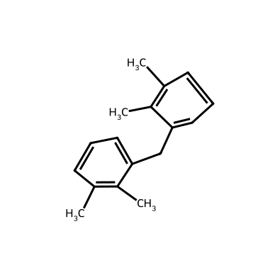 Cc1cccc(Cc2cccc(C)c2C)c1C